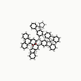 c1ccc2c(c1)-c1cc(N(c3ccc4c5ccccc5c5ccccc5c4c3)c3cc4c(cc3-c3ccc5sc6ccccc6c5c3)-c3ccccc3C43c4ccccc4-c4ccccc43)ccc1C21CCCC1